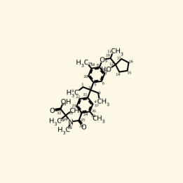 CCC(CC)(c1ccc(OC(C)C2(O)CCCC2)c(C)c1)c1ccc(C(=O)N(C)C(C)(C)C(=O)O)c(C)c1